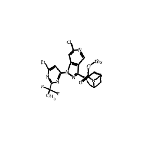 CCc1cc(-n2nc(N3CC4CC(C3)N4C(=O)OC(C)(C)C)c3cnc(Cl)cc32)nc(C(C)(F)F)n1